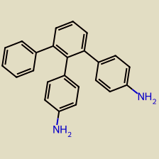 Nc1ccc(-c2cccc(-c3ccccc3)c2-c2ccc(N)cc2)cc1